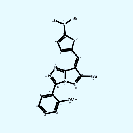 CCCCN(CC)c1ccc(/C=c2/c(C(C)(C)C)nn3c(-c4ccccc4OC)nnc23)s1